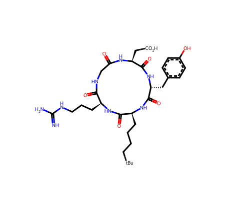 CC(C)(C)CCCC[C@@H]1NC(=O)[C@@H](Cc2ccc(O)cc2)NC(=O)[C@H](CC(=O)O)NC(=O)CNC(=O)[C@H](CCCNC(=N)N)NC1=O